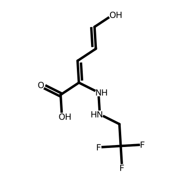 O=C(O)/C(=C/C=C/O)NNCC(F)(F)F